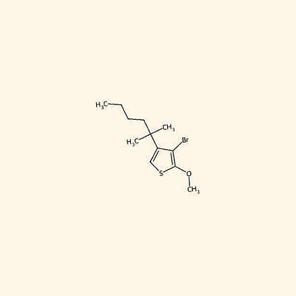 CCCCC(C)(C)c1csc(OC)c1Br